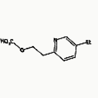 CCc1ccc(CCOC(=O)O)nc1